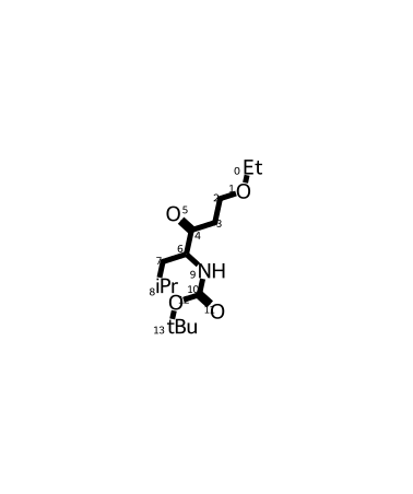 CCOCCC(=O)C(CC(C)C)NC(=O)OC(C)(C)C